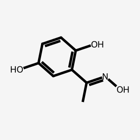 CC(=NO)c1cc(O)ccc1O